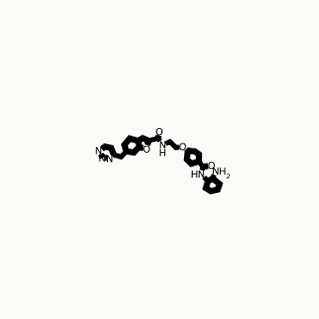 Nc1ccccc1NC(=O)c1ccc(OCCNC(=O)c2cc3ccc(Cc4ccnnn4)cc3o2)cc1